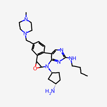 CCCCNc1ncc2c(n1)N([C@H]1CC[C@H](N)C1)C1OC1c1cc(CN3CCN(C)CC3)ccc1-2